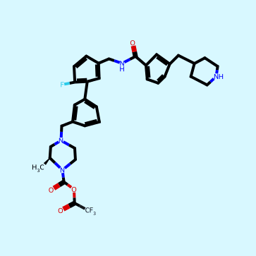 C[C@H]1CN(Cc2cccc(-c3cc(CNC(=O)c4cccc(CC5CCNCC5)c4)ccc3F)c2)CCN1C(=O)OC(=O)C(F)(F)F